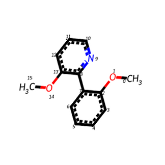 COc1ccccc1-c1nc[c]cc1OC